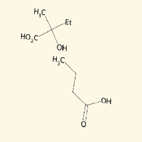 CCC(C)(O)C(=O)O.CCCC(=O)O